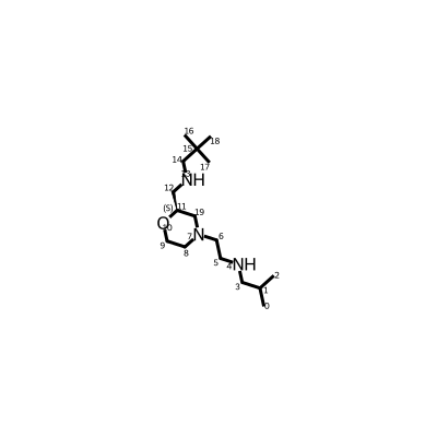 CC(C)CNCCN1CCO[C@@H](CNCC(C)(C)C)C1